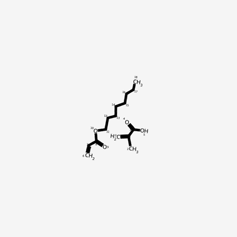 C=C(C)C(=O)O.C=CC(=O)OCCCCCCCC